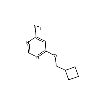 Nc1cc(OCC2CCC2)ncn1